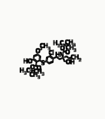 C=CC[C@@](CO)(CCc1ccc(Sc2cc(OCC)cc(O)c2C(=O)OC(C)(C)C)cc1Cl)NC(=O)OC(C)(C)C